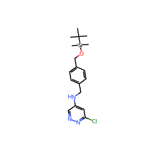 CC(C)(C)[Si](C)(C)OCc1ccc(CNc2cnnc(Cl)c2)cc1